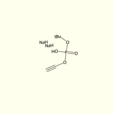 C#COP(=O)(O)OC(C)(C)C.[NaH].[NaH]